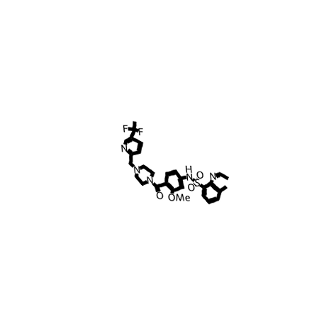 C/C=N\c1c(C)cccc1S(=O)(=O)Nc1ccc(C(=O)N2CCN(Cc3ccc(C(C)(F)F)cn3)CC2)c(OC)c1